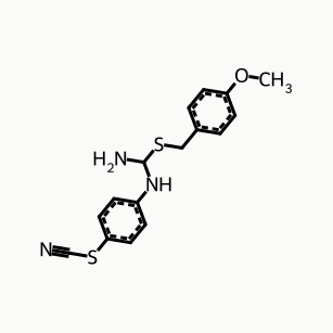 COc1ccc(CSC(N)Nc2ccc(SC#N)cc2)cc1